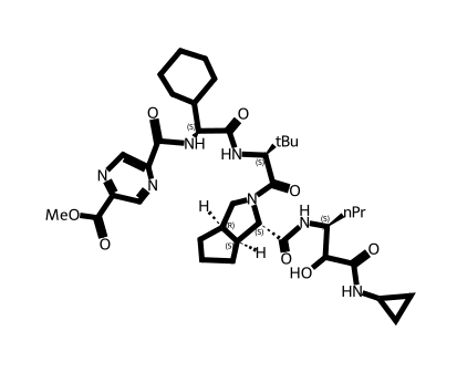 CCC[C@H](NC(=O)[C@@H]1[C@H]2CCC[C@H]2CN1C(=O)[C@@H](NC(=O)[C@@H](NC(=O)c1cnc(C(=O)OC)cn1)C1CCCCC1)C(C)(C)C)C(O)C(=O)NC1CC1